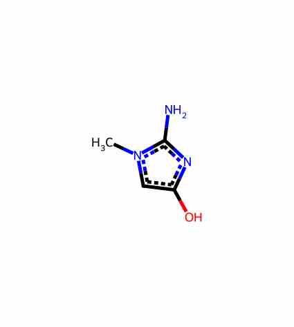 Cn1cc(O)nc1N